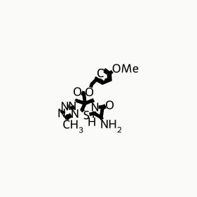 COc1ccc(COC(=O)C2(Cn3nnc(C)n3)CS[C@@H]3C(N)C(=O)N3C2)cc1